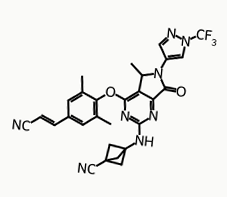 Cc1cc(/C=C/C#N)cc(C)c1Oc1nc(NC23CC(C#N)(C2)C3)nc2c1C(C)N(c1cnn(C(F)(F)F)c1)C2=O